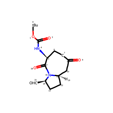 CC(C)(C)OC(=O)N[C@H]1CCC(=O)C[C@H]2CC[C@@H](C=O)N2C1=O